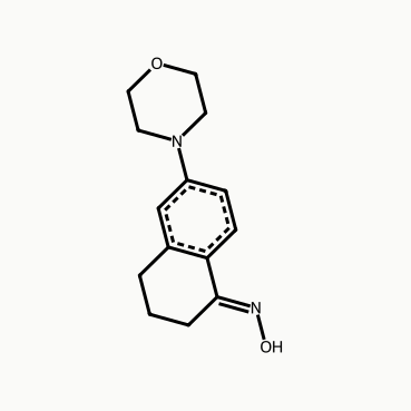 ON=C1CCCc2cc(N3CCOCC3)ccc21